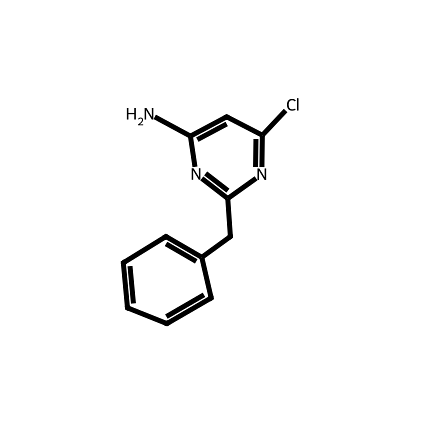 Nc1cc(Cl)nc(Cc2ccccc2)n1